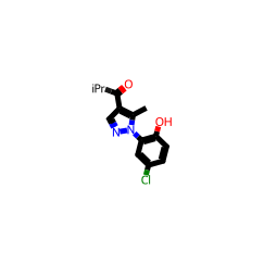 Cc1c(C(=O)C(C)C)cnn1-c1cc(Cl)ccc1O